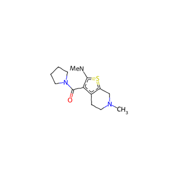 CNc1sc2c(c1C(=O)N1CCCC1)CCN(C)C2